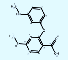 BNc1cccc(Oc2nc(SC)ncc2C(=O)O)c1